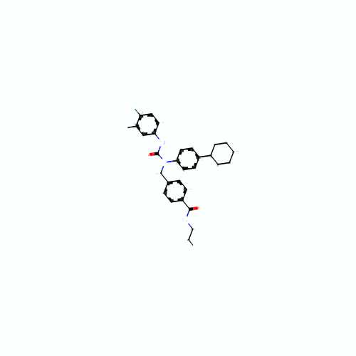 O=C(O)CCNC(=O)c1ccc(CN(C(=O)Nc2ccc(Br)c(C(F)(F)F)c2)c2ccc(C3CCCCC3)cc2)cc1